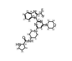 O=C(NC1CCN(c2cc(N3CCOCC3)nc(-n3c(C(F)F)nc4ccccc43)n2)CC1)C1CCCN1